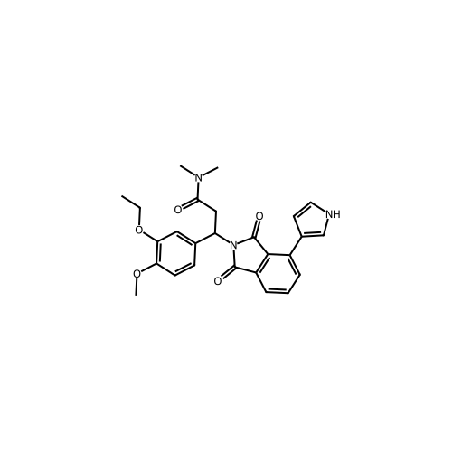 CCOc1cc(C(CC(=O)N(C)C)N2C(=O)c3cccc(-c4cc[nH]c4)c3C2=O)ccc1OC